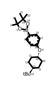 CC1(C)OB(c2ccc(O[C@H]3CC[C@H](C(C)(C)C)CC3)cc2)OC1(C)C